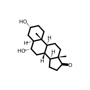 C[C@]12CC[C@@H](O)C[C@@H]1[C@@H](O)C[C@@H]1[C@@H]2CC[C@]2(C)C(=O)CC[C@@H]12